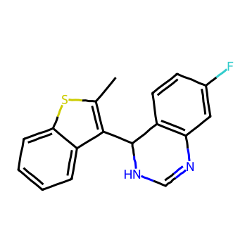 Cc1sc2ccccc2c1C1NC=Nc2cc(F)ccc21